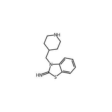 N=c1sc2ccccc2n1CC1CCNCC1